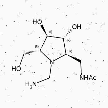 CC(=O)NC[C@@H]1[C@@H](O)[C@H](O)[C@@H](CO)N1CN